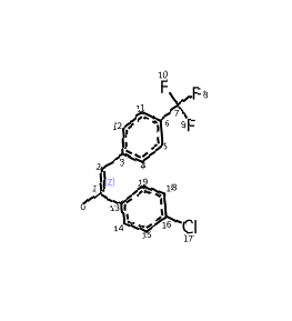 C/C(=C/c1ccc(C(F)(F)F)cc1)c1ccc(Cl)cc1